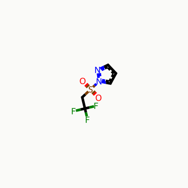 O=S(=O)(CC(F)(F)F)n1cccn1